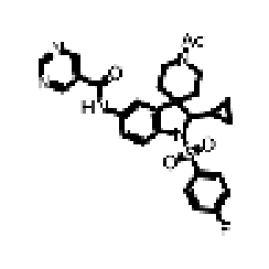 CC(=O)N1CCC2(CC1)c1cc(NC(=O)c3cncnc3)ccc1N(S(=O)(=O)c1ccc(F)cc1)C2C1CC1